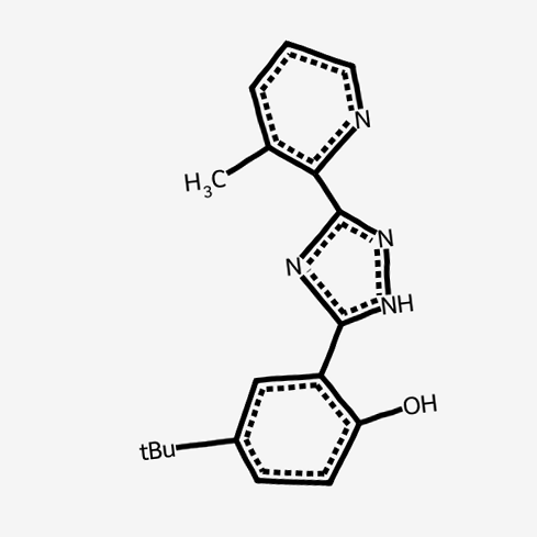 Cc1cccnc1-c1n[nH]c(-c2cc(C(C)(C)C)ccc2O)n1